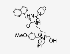 COc1ccc(S(=O)(=O)N(CC(C)C)[C@H](CO)CCCCNC(=O)[C@H](Cc2cccc3ccccc23)NC(=O)N2CCOCC2)cc1